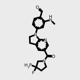 CNc1cc(N2CCc3cc(C(=O)N4CCC(F)(P)C4)cnc32)ccc1C=O